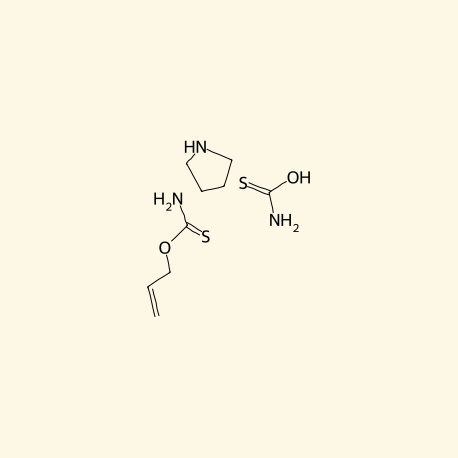 C1CCNC1.C=CCOC(N)=S.NC(O)=S